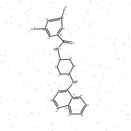 O=C(NC1CCC(Nc2ccnc3ccccc23)CC1)c1cc(F)cc(F)c1